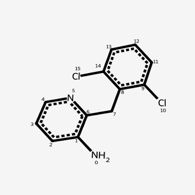 Nc1cccnc1Cc1c(Cl)cccc1Cl